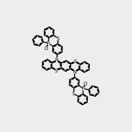 O=P1(c2ccccc2)c2ccccc2Sc2ccc(-n3c4ccccc4sc4cc5c(cc43)sc3ccccc3n5-c3ccc4c(c3)P(=O)(c3ccccc3)c3ccccc3S4)cc21